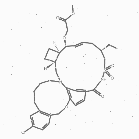 CC[C@@H]1C/C=C/[C@H](OCC(=O)OC)[C@@H]2CC[C@H]2CN2CCCCc3cc(Cl)ccc3COc3ccc(cc32)C(=O)NS(=O)(=O)C1